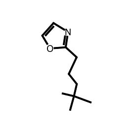 CC(C)(C)CCCc1ncco1